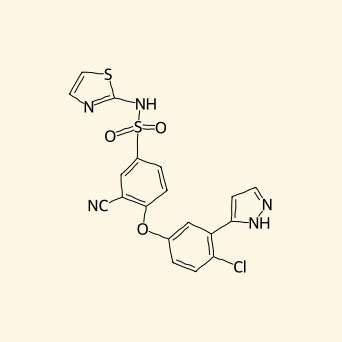 N#Cc1cc(S(=O)(=O)Nc2nccs2)ccc1Oc1ccc(Cl)c(-c2ccn[nH]2)c1